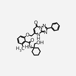 Cc1cccc(OCc2cc(=O)n3nc(-c4ccccc4)nc3[nH]2)c1C(=O)NC1(CO)CCCCC1